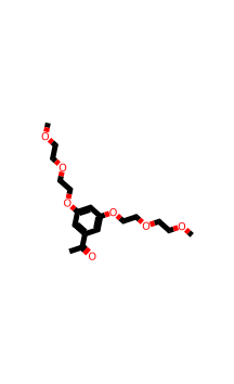 COCCOCCOc1cc(OCCOCCOC)cc(C(C)=O)c1